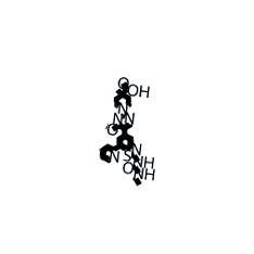 CCNC(=O)Nc1nc2cc(-c3cnc(N4CCC(C)(C(=O)O)CC4)nc3OC)cc(-c3ccccn3)c2s1